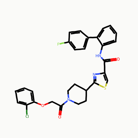 O=C(Nc1ccccc1-c1ccc(F)cc1)c1csc(C2CCN(C(=O)COc3ccccc3Cl)CC2)n1